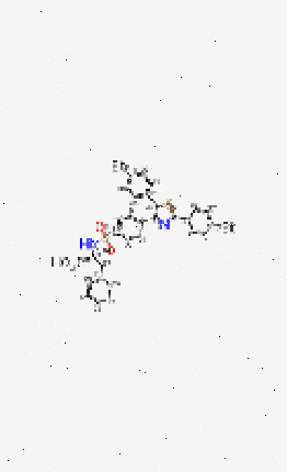 CCc1ccc(-c2nc(-c3ccc(S(=O)(=O)N[C@@H](Cc4ccccc4)C(=O)O)cc3)c(-c3ccc(CC)cc3)s2)cc1